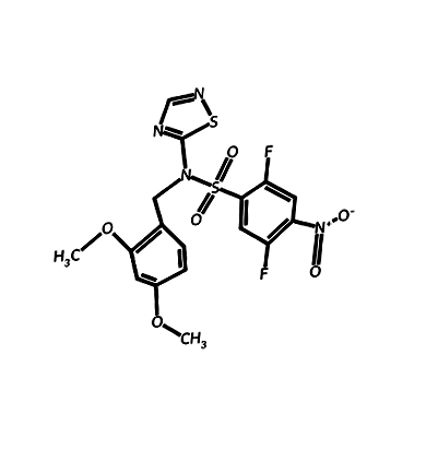 COc1ccc(CN(c2ncns2)S(=O)(=O)c2cc(F)c([N+](=O)[O-])cc2F)c(OC)c1